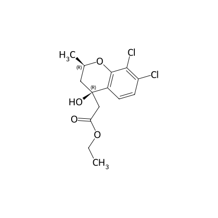 CCOC(=O)C[C@]1(O)C[C@@H](C)Oc2c1ccc(Cl)c2Cl